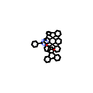 c1ccc(-c2nc(-c3ccc4c5ccccc5c5ccccc5c4c3)nc(-c3cccc4c3C3(c5ccccc5-4)c4ccccc4C4(c5ccccc5-c5ccccc54)c4ccccc43)n2)cc1